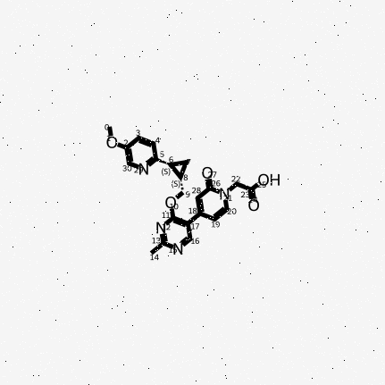 COc1ccc([C@H]2C[C@@H]2COc2nc(C)ncc2-c2ccn(CC(=O)O)c(=O)c2)nc1